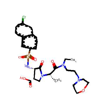 CCN(CCN1CCOCC1)C(=O)[C@H](C)N1CC[C@H](NS(=O)(=O)c2ccc3cc(Cl)ccc3c2)C1=O.O=CO